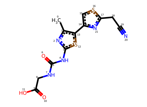 Cc1nc(NC(=O)NCC(=O)O)sc1-c1csc(CC#N)n1